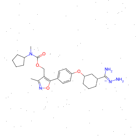 Cc1noc(-c2ccc(OC3CCCC(/C(N)=N/N)C3)cc2)c1COC(=O)N(C)C1CCCC1